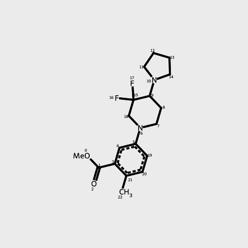 COC(=O)c1cc(N2CCC(N3CCCC3)C(F)(F)C2)ccc1C